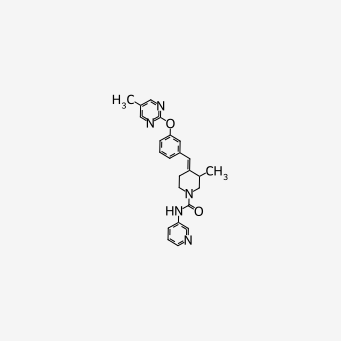 Cc1cnc(Oc2cccc(C=C3CCN(C(=O)Nc4cccnc4)CC3C)c2)nc1